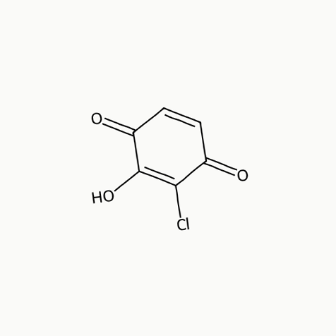 O=C1C=CC(=O)C(Cl)=C1O